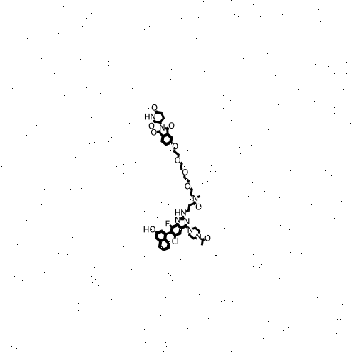 CC(=O)N1CCN(c2nc(NCCC(=O)N(C)CCOCCOCCOCCOc3ccc4c(c3)C(=O)N(C3CCC(=O)NC3=O)C4=O)nc3c(F)c(-c4cc(O)cc5ccccc45)c(Cl)cc23)CC1